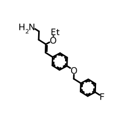 CCOC(=Cc1ccc(OCc2ccc(F)cc2)cc1)CCN